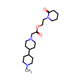 CN1CCC(C2CCN(CC(=O)OCCN3CCCCC3=O)CC2)CC1